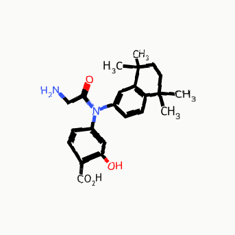 CC1(C)CCC(C)(C)c2cc(N(C(=O)CN)c3ccc(C(=O)O)c(O)c3)ccc21